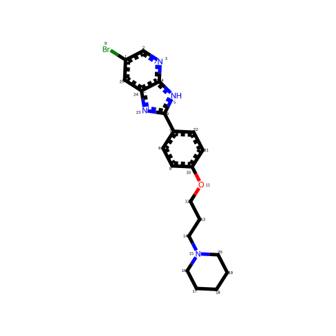 Brc1cnc2[nH]c(-c3ccc(OCCCN4CCCCC4)cc3)nc2c1